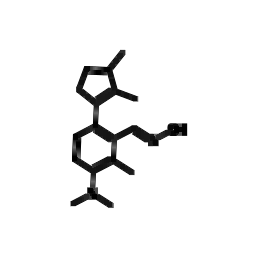 CC1=CCC(c2ccc(N(C)C)c(C)c2C=NO)=C1C